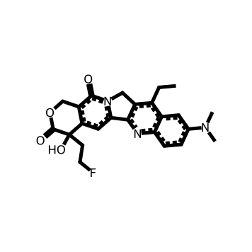 CCc1c2c(nc3ccc(N(C)C)cc13)-c1cc3c(c(=O)n1C2)COC(=O)C3(O)CCF